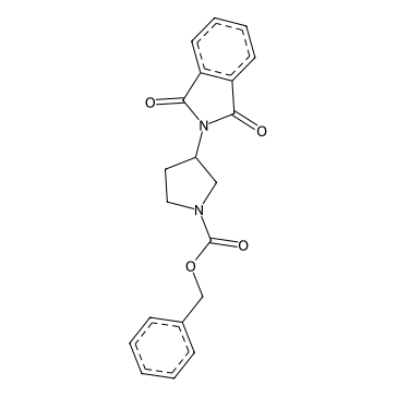 O=C(OCc1ccccc1)N1CCC(N2C(=O)c3ccccc3C2=O)C1